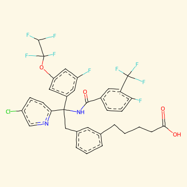 O=C(O)CCCCc1cccc(CC(NC(=O)c2ccc(F)c(C(F)(F)F)c2)(c2cc(F)cc(OC(F)(F)C(F)F)c2)c2ccc(Cl)cn2)c1